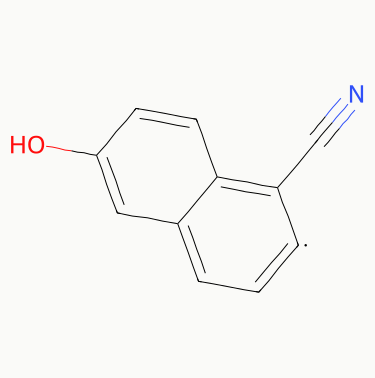 N#Cc1[c]ccc2cc(O)ccc12